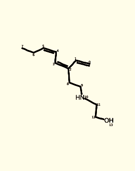 C=C/C(=C\C=C/CC)CCNCCO